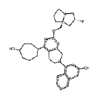 Oc1cc(N2CCc3c(nc(OC[C@@]45CCCN4C[C@H](F)C5)nc3N3CCCC(O)CC3)C2)c2ccccc2c1